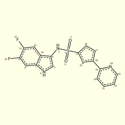 O=S(=O)(Nc1c[nH]c2cc(F)c(F)cc12)c1ccc(-c2ccccn2)s1